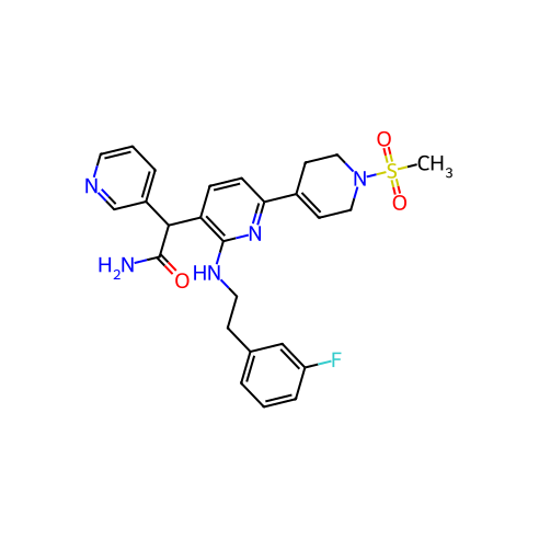 CS(=O)(=O)N1CC=C(c2ccc(C(C(N)=O)c3cccnc3)c(NCCc3cccc(F)c3)n2)CC1